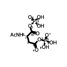 CC(=O)N[C@@H](CC(=O)OP(=O)(O)O)C(=O)OP(=O)(O)O